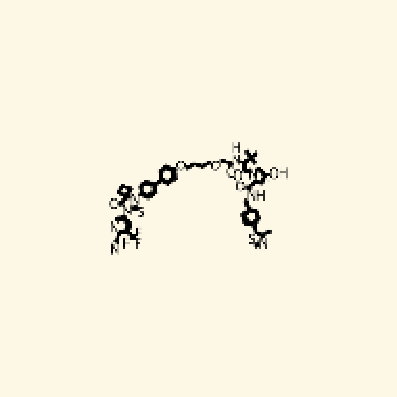 Cc1ncsc1-c1ccc(CNC(=O)C2C[C@@H](O)CN2C(=O)[C@@H](NC(=O)COCCCCOc2ccc(-c3ccc(N4C(=S)N(c5cnc(C#N)c(C(F)(F)F)c5)C(=O)C45CCC5)cc3)cc2)C(C)(C)C)cc1